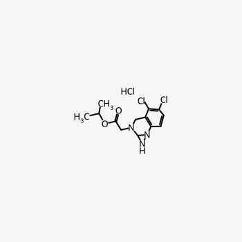 CC(C)OC(=O)CN1Cc2c(ccc(Cl)c2Cl)N2NC12.Cl